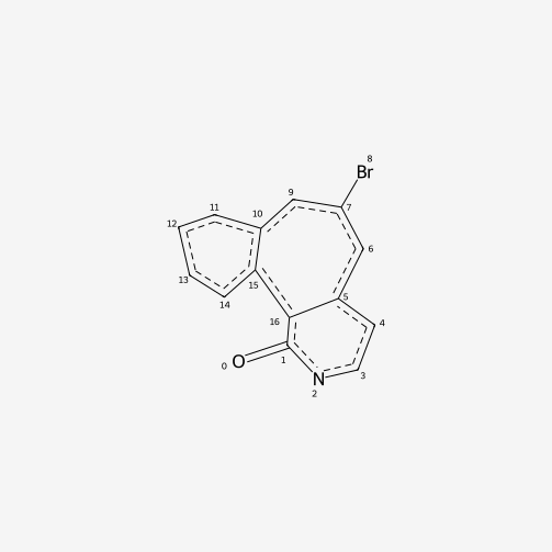 O=c1nccc2cc(Br)cc3ccccc3c1-2